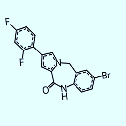 O=C1Nc2ccc(Br)cc2Cn2cc(-c3ccc(F)cc3F)cc21